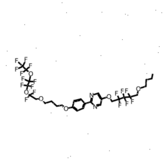 CCCCOCC(F)(F)C(F)(F)C(F)(F)COc1cnc(-c2ccc(OCCCCOCC(F)(F)OC(F)(F)C(F)(F)OC(F)(F)C(F)(F)F)cc2)nc1